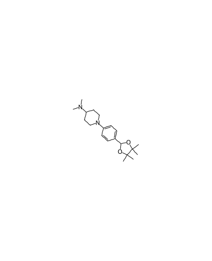 CN(C)C1CCN(c2ccc(C3OC(C)(C)C(C)(C)O3)cc2)CC1